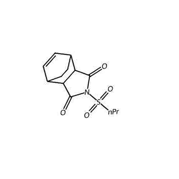 CCCS(=O)(=O)N1C(=O)C2C3C=CC(CC3)C2C1=O